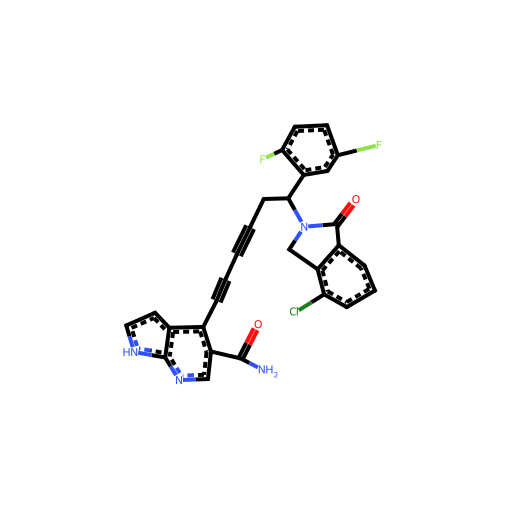 NC(=O)c1cnc2[nH]ccc2c1C#CC#CCC(c1cc(F)ccc1F)N1Cc2c(Cl)cccc2C1=O